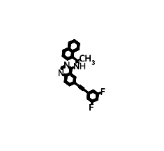 C[C@@H](Nc1ncnc2ccc(C#Cc3cc(F)cc(F)c3)cc12)c1cccc2ccccc12